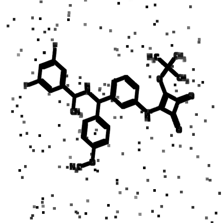 COc1ccc(C(NC(C)c2cc(F)cc(F)c2)c2cccc(Nc3c(OC(C)(C)C)c(=O)c3=O)c2)cc1